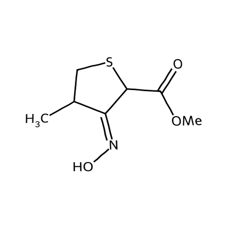 COC(=O)C1SCC(C)C1=NO